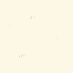 CC(C)(C)c1cc2cc(C(C)(C)C)c1-2.CO